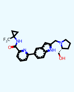 O=C(NC1(C(F)(F)F)CC1)c1cccc(-c2ccc3[nH]c(CN4CCC[C@@H]4CO)cc3c2)n1